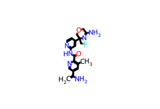 C=C(N)c1cnc(C(=O)Nc2cc(C3(CF)COCC(N)=N3)ccn2)c(C)c1